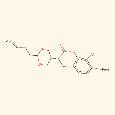 C=CCCC1OCC(C2Cc3ccc(CCCCC)c(Cl)c3OC2=O)CO1